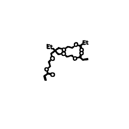 C=CC(=O)OCCOCC(CC)(COCCOC(=O)C=C)COCCOC(=O)CC